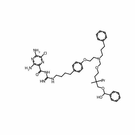 CC(C)C(C)(CCOCN(CCCc1ccccc1)CCOc1ccc(CCCCNC(=N)NC(=O)c2nc(Cl)c(N)nc2N)cc1)COC(O)c1ccccc1